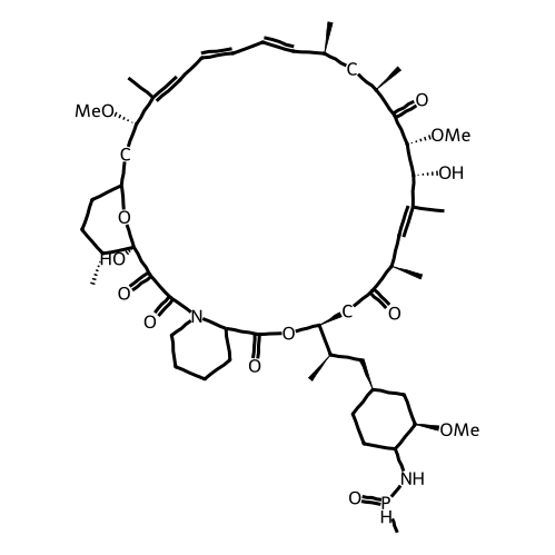 CO[C@H]1CC2CC[C@@H](C)[C@@](O)(O2)C(=O)C(=O)N2CCCCC2C(=O)O[C@H]([C@H](C)C[C@@H]2CCC(N[PH](C)=O)[C@H](OC)C2)CC(=O)[C@H](C)/C=C(\C)[C@@H](O)[C@@H](OC)C(=O)[C@H](C)C[C@H](C)/C=C/C=C/C=C/1C